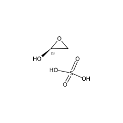 O=S(=O)(O)O.O[C@@H]1CO1